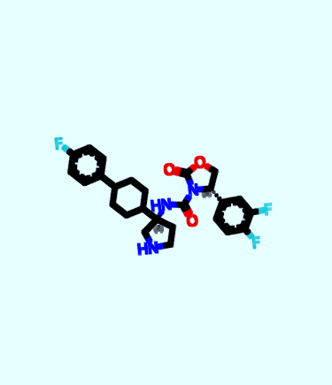 O=C(N[C@@]1(C2CCC(c3ccc(F)cc3)CC2)CCNC1)N1C(=O)OC[C@@H]1c1ccc(F)c(F)c1